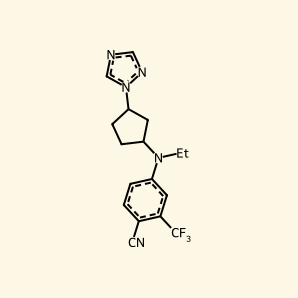 CCN(c1ccc(C#N)c(C(F)(F)F)c1)C1CCC(n2cncn2)C1